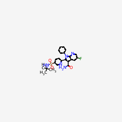 CC(C)(C)NS(=O)(=O)c1ccc(-c2c(C(N)=O)c3cc(F)cnc3n2-c2ccccc2)nc1